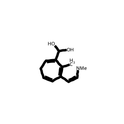 CN/C=C\C1=C(C)C(C(O)O)=CCC=C1